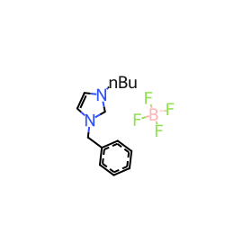 CCCCN1C=CN(Cc2ccccc2)C1.F[B-](F)(F)F